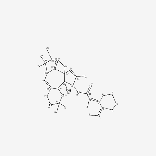 C/N=C1/CCCC/C1=C(/C)C(=O)OC1C(C)=CC23CCC(C)C(C)(C)C(C=C4COC(C)(C)OC4C12O)C3=O